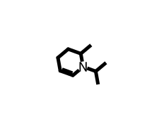 CC(C)N1C=CCCC1C